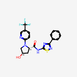 O=C(Nc1nc(-c2ccccc2)ns1)[C@@H]1C[C@@H](O)CN1c1ccc(C(F)(F)F)cn1